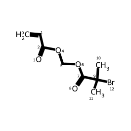 C=CC(=O)OCOC(=O)C(C)(C)Br